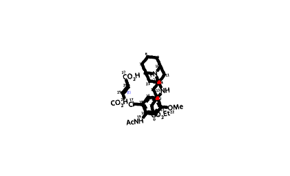 CCOC(=O)CCCCN1C2CCCC1CC(Nc1cc(Cl)c(NC(C)=O)cc1OC)C2.O=C(O)/C=C/C(=O)O